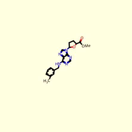 COC(=O)C1CCC(n2cnc3c(NCc4cccc(C)c4)ncnc32)O1